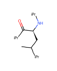 CC(C)N[C@@H](CC(C)C(C)C)C(=O)C(C)C